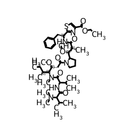 CCOC(=O)c1csc([C@H](Cc2ccccc2)NC(=O)[C@H](C)[C@@H](OC)C2CCCN2C(=O)C[C@@H](OC)[C@H]([C@@H](C)CC)N(C)C(=O)C(NC(=O)C(C(C)C)N(C)C)C(C)C)n1